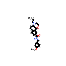 CCCN1CCOC2c3cc(C(=O)NCc4ccc(OC)cc4)ccc3CCC21